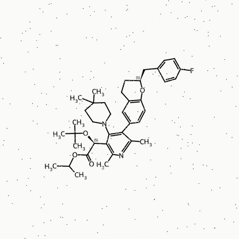 Cc1nc(C)c([C@H](OC(C)(C)C)C(=O)OC(C)C)c(N2CCC(C)(C)CC2)c1-c1ccc2c(c1)CC[C@@H](Cc1ccc(F)cc1)O2